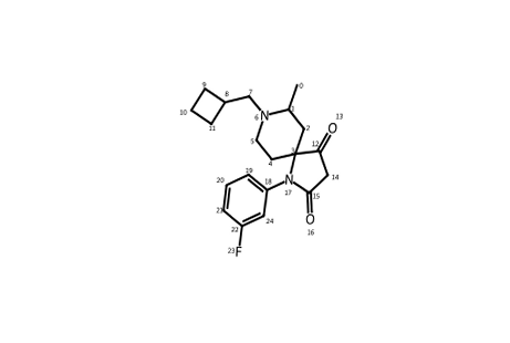 CC1CC2(CCN1CC1CCC1)C(=O)CC(=O)N2c1cccc(F)c1